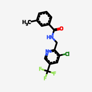 Cc1cccc(C(=O)NCc2ncc(C(F)(F)F)cc2Cl)c1